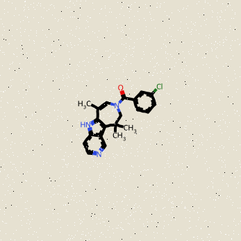 CC1=CN(C(=O)c2cccc(Cl)c2)CC(C)(C)c2c1[nH]c1ccncc21